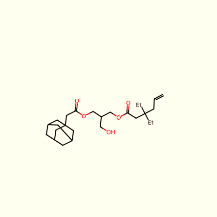 C=CCC(CC)(CC)CC(=O)OCC(CO)COC(=O)CC12CC3CC(CC(C3)C1)C2